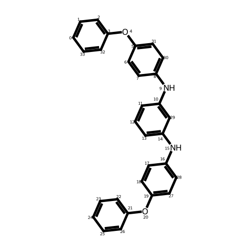 c1ccc(Oc2ccc(Nc3cccc(Nc4ccc(Oc5ccccc5)cc4)c3)cc2)cc1